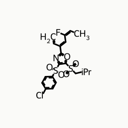 C=C/C(=C\C(F)=C/C)c1nc(S(=O)(=O)c2ccc(Cl)cc2)c(S(=O)(=O)CC(C)C)o1